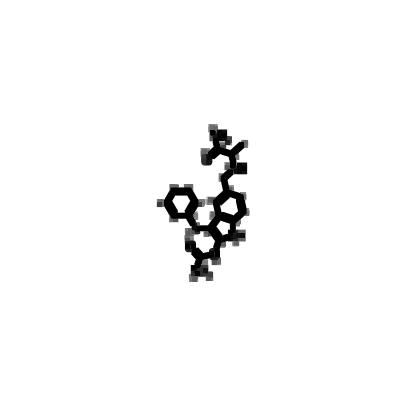 CC(NCc1ccc2[nH]c(OC(N)=O)c(Sc3ccccc3)c2c1)C(N)=O